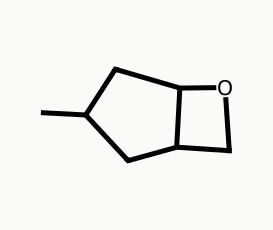 CC1CC2COC2C1